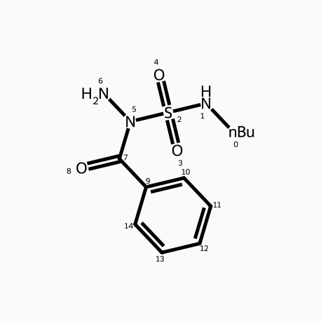 CCCCNS(=O)(=O)N(N)C(=O)c1ccccc1